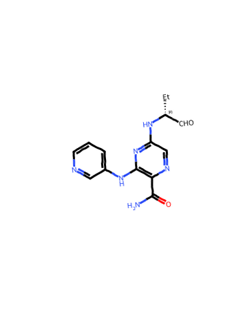 CC[C@H](C=O)Nc1cnc(C(N)=O)c(Nc2cccnc2)n1